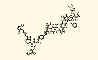 C=C(C(=O)N[C@@H](C)C(=O)N(C)[C@@H](C)C(=O)N[C@H](C(=O)NC)[C@H](OC(=O)[C@@H](NC(=O)CC)[C@H](O[PH](=O)OCc1ccc(NC(=O)[C@H](CCCNC(N)=O)NC(=O)[C@@H](NC(=O)CCOCCN2C(=O)C=CC2=O)C(C)C)cc1)C(C)C)C(C)C)N(C)C(=O)[C@@H](Cc1ccccc1)OC(=O)[C@@H](NC(C)=O)[C@@H](C)OC(=O)C[C@@H](C)OC